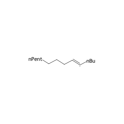 CCCC/[C]=C/CCCCCCCC